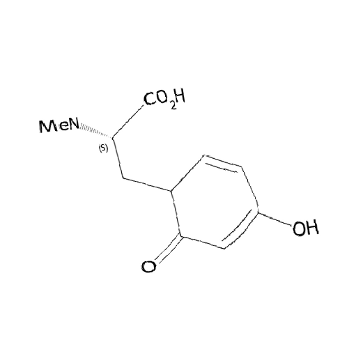 CN[C@@H](CC1C=CC(O)=CC1=O)C(=O)O